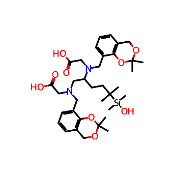 CC1(C)OCc2cccc(CN(CC(=O)O)CC(CCC(C)(C)[Si](C)(C)O)N(CC(=O)O)Cc3cccc4c3OC(C)(C)OC4)c2O1